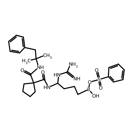 CC(C)(Cc1ccccc1)NC(=O)C1(C(=O)NC(CCCB(O)OS(=O)(=O)c2ccccc2)NC(=N)N)CCCC1